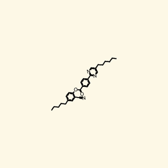 CCCCCCc1cnc(-c2ccc(C(=O)Oc3ccc(CCCCC)cc3C#N)cc2)nc1